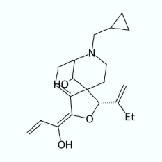 C=C/C(O)=C1/O[C@@H](C(=C)CC)C23CCN(CC4CC4)C(CC=C12)C3O